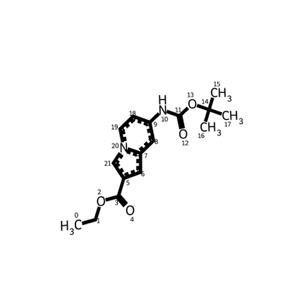 CCOC(=O)c1cc2cc(NC(=O)OC(C)(C)C)ccn2c1